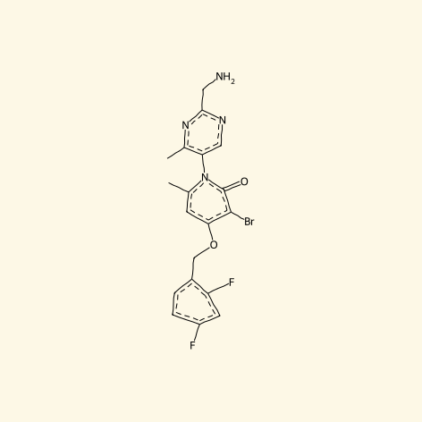 Cc1nc(CN)ncc1-n1c(C)cc(OCc2ccc(F)cc2F)c(Br)c1=O